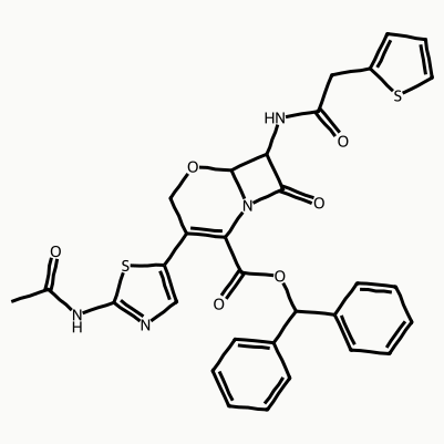 CC(=O)Nc1ncc(C2=C(C(=O)OC(c3ccccc3)c3ccccc3)N3C(=O)C(NC(=O)Cc4cccs4)C3OC2)s1